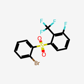 O=S(=O)(c1ccccc1Br)c1cccc(F)c1C(F)(F)F